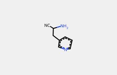 N#CC(N)Cc1cccnc1